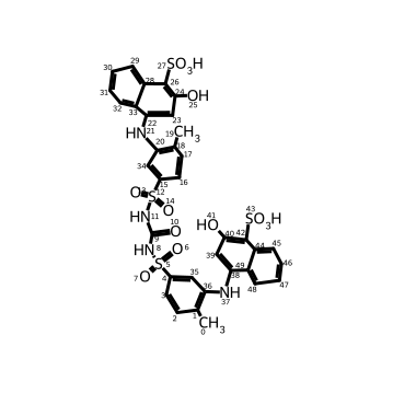 Cc1ccc(S(=O)(=O)NC(=O)NS(=O)(=O)c2ccc(C)c(Nc3cc(O)c(S(=O)(=O)O)c4ccccc34)c2)cc1Nc1cc(O)c(S(=O)(=O)O)c2ccccc12